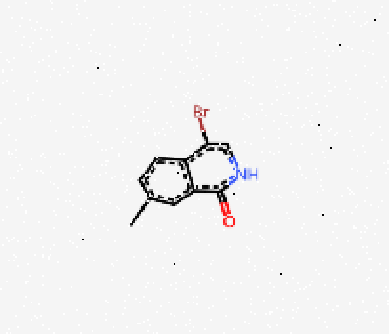 Cc1ccc2c(Br)c[nH]c(=O)c2c1